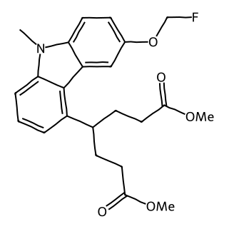 COC(=O)CCC(CCC(=O)OC)c1cccc2c1c1cc(OCF)ccc1n2C